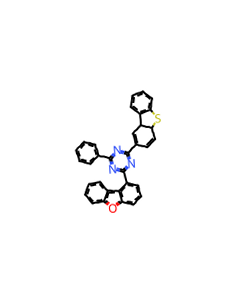 C1=CC2Sc3ccccc3C2C=C1c1nc(-c2ccccc2)nc(-c2cccc3oc4ccccc4c23)n1